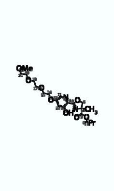 CCCOC(=O)C1(C)COC(c2ncc(OCCOCCOCCOC)cc2O)=N1